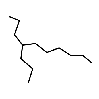 [CH2]CCC(CCC)CCCCCC